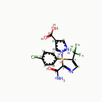 NC(=O)C1=NC=C(C(F)(F)F)S1(c1ccc(Cl)cc1)n1cc(C(=O)O)cn1